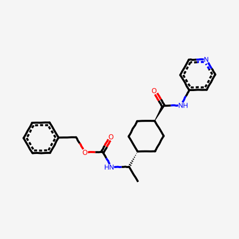 CC(NC(=O)OCc1ccccc1)[C@H]1CC[C@H](C(=O)Nc2ccncc2)CC1